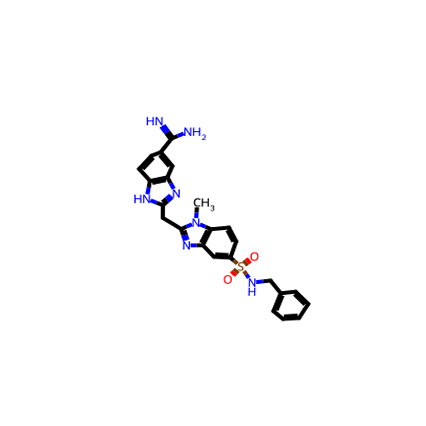 Cn1c(Cc2nc3cc(C(=N)N)ccc3[nH]2)nc2cc(S(=O)(=O)NCc3ccccc3)ccc21